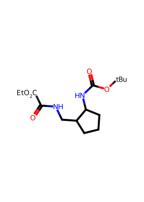 CCOC(=O)C(=O)NCC1CCCC1NC(=O)OC(C)(C)C